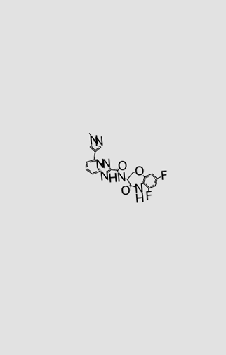 Cn1cc(-c2cccc3nc(C(=O)NC4COc5cc(F)cc(F)c5NC4=O)nn23)cn1